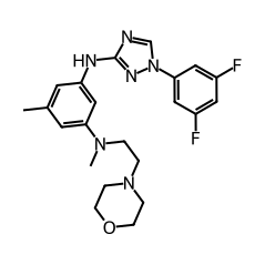 Cc1cc(Nc2ncn(-c3cc(F)cc(F)c3)n2)cc(N(C)CCN2CCOCC2)c1